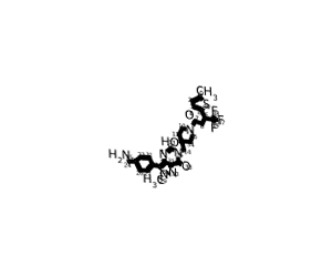 Cc1ccc(C(CC(=O)N2CCC(O)(Cn3cnc4c(-c5ccc(CN)cc5)n(C)nc4c3=O)CC2)C(F)(F)F)s1